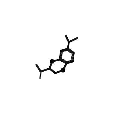 CC(C)c1ccc2c(c1)OC(C(C)C)CO2